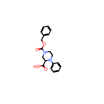 O=C(O)C1CN(C(=O)OCc2ccccc2)CCN1c1ccccc1